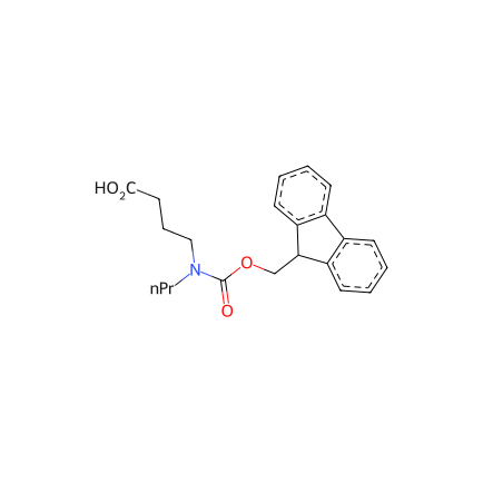 CCCN(CCCC(=O)O)C(=O)OCC1c2ccccc2-c2ccccc21